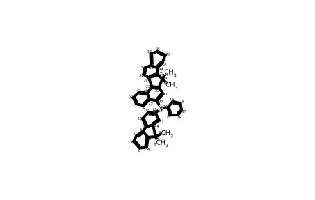 CC1(C)c2ccccc2-c2ccc(N(c3ccccc3)c3cc4c(c5ccccc35)-c3ccc5ccccc5c3C4(C)C)cc21